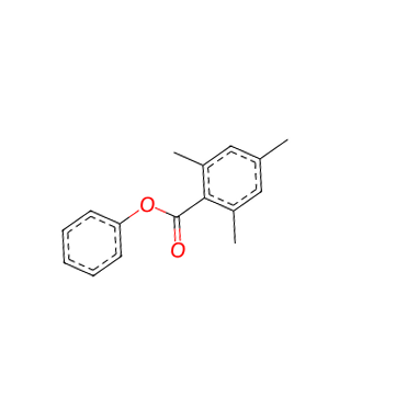 Cc1cc(C)c(C(=O)Oc2ccccc2)c(C)c1